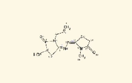 C=CCN1C(=O)C(O)S/C1=N/N=C1/SCC(=O)N1C